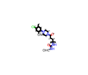 COc1cc(Cl)c(C)cc1N1CCN(C(=O)CCC(C)(C)NC(=O)NC=O)CC1